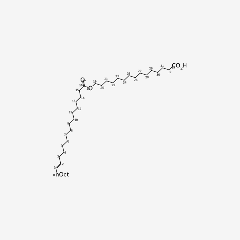 CCCCCCCCC=CCCCCCCCCCCCCCC(=O)OCCCCCCCCCCCCCCC(=O)O